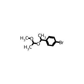 COC(C)OC(C)c1ccc(Br)cc1